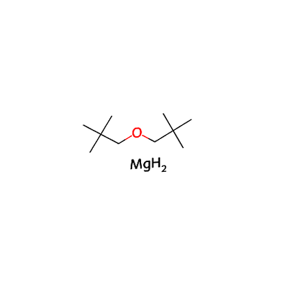 CC(C)(C)COCC(C)(C)C.[MgH2]